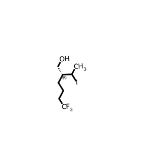 CC(I)[C@@H](CO)CCCC(F)(F)F